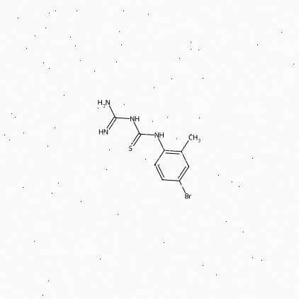 Cc1cc(Br)ccc1NC(=S)NC(=N)N